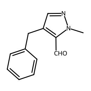 Cn1ncc(Cc2ccccc2)c1C=O